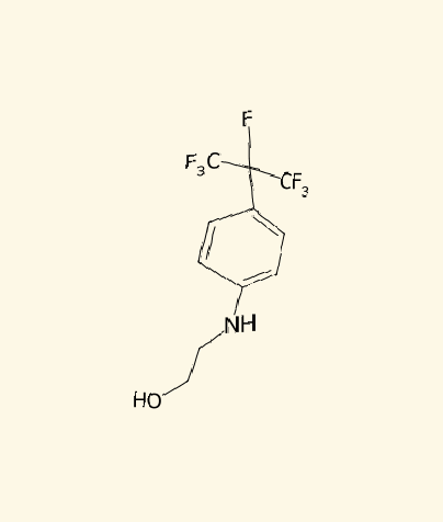 OCCNc1ccc(C(F)(C(F)(F)F)C(F)(F)F)cc1